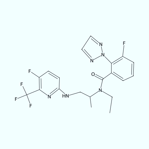 CCN(C(=O)c1cccc(F)c1-n1nccn1)C(C)CNc1ccc(F)c(C(F)(F)F)n1